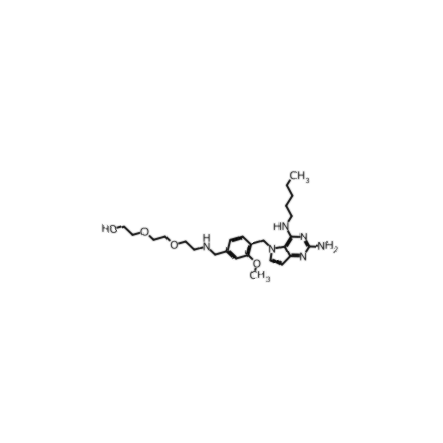 CCCCCNc1nc(N)nc2ccn(Cc3ccc(CNCCOCCOCCO)cc3OC)c12